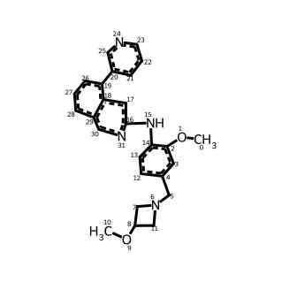 COc1cc(CN2CC(OC)C2)ccc1Nc1cc2c(-c3cccnc3)cccc2cn1